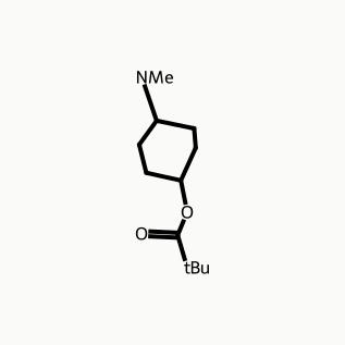 CNC1CCC(OC(=O)C(C)(C)C)CC1